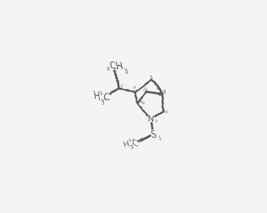 CSN1CC2CC(C(C)C)C1C2